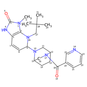 Cn1c2c([nH]c1=O)C=CC(N1CC3CCC1CN3C(=O)c1cccnc1)N2CC(C)(C)C